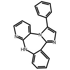 c1ccc(-c2cnc3n2-c2cccnc2Nc2ccccc2-3)cc1